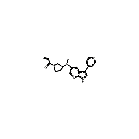 C=CC(=O)N1CCC(N(C)c2cnc3[nH]cc(-c4ccncc4)c3c2)C1